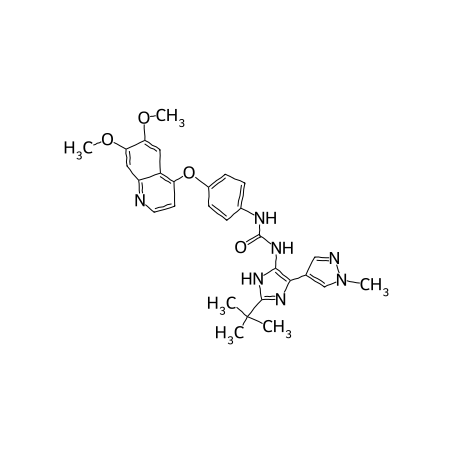 COc1cc2nccc(Oc3ccc(NC(=O)Nc4[nH]c(C(C)(C)C)nc4-c4cnn(C)c4)cc3)c2cc1OC